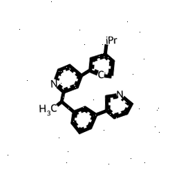 CC(C)c1cccc(-c2ccnc(C(C)c3cccc(-c4cccnc4)c3)c2)c1